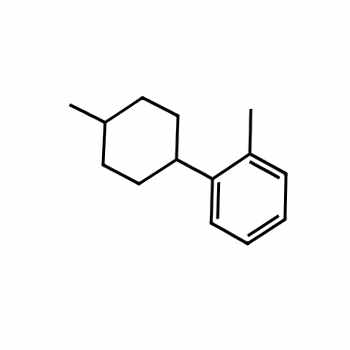 Cc1ccccc1C1CCC(C)CC1